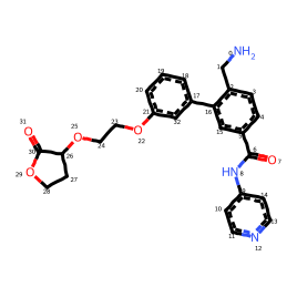 NCc1ccc(C(=O)Nc2ccncc2)cc1-c1cccc(OCCOC2CCOC2=O)c1